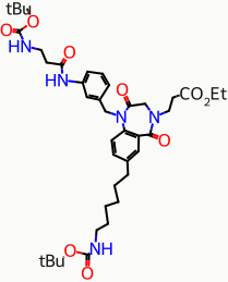 CCOC(=O)CCN1CC(=O)N(Cc2cccc(NC(=O)CCNC(=O)OC(C)(C)C)c2)c2ccc(CCCCCCNC(=O)OC(C)(C)C)cc2C1=O